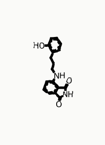 O=C1NC(=O)c2c(NCCCc3ccccc3O)cccc21